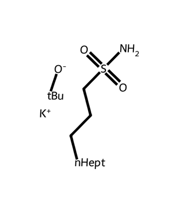 CC(C)(C)[O-].CCCCCCCCCCS(N)(=O)=O.[K+]